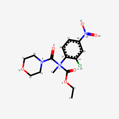 CCOC(=O)[N+](C)(C(=O)N1CCOCC1)c1ccc([N+](=O)[O-])cc1Cl